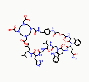 CC(C)CC(CC(C)C)NC(=O)[C@H](Cc1cnc[nH]1)NC(=O)CNC(=O)[C@@H](NC(=O)CNC(=O)[C@H](Cc1c[nH]c2ccccc12)NC(=O)[C@H](CCC(N)=O)NC(=O)[C@@H](Cc1ccccc1)NC(=O)COCC(=O)Nc1ccc(CNC(=O)CN2CCN(CC(=O)O)CCN(CC(=O)O)CCN(CC(=O)O)CC2)cc1)C(C)C